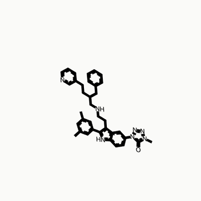 Cc1cc(C)cc(-c2[nH]c3ccc(-n4nnn(C)c4=O)cc3c2CCNCC(CCc2cccnc2)Cc2ccccc2)c1